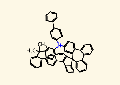 CC1(C)c2ccccc2-c2ccc(N(c3ccc(-c4ccccc4)cc3)c3ccc4c(c3)C3(c5ccccc5-c5ccccc5-4)c4ccccc4-c4c3ccc3ccccc43)cc21